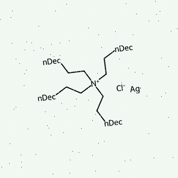 CCCCCCCCCCCC[N+](CCCCCCCCCCCC)(CCCCCCCCCCCC)CCCCCCCCCCCC.[Ag].[Cl-]